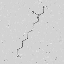 C=CCCCCCCC[SiH](Cl)CC